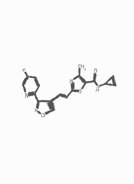 Cc1nc(/C=C/c2conc2-c2ccc(F)cn2)sc1C(=O)NC1CC1